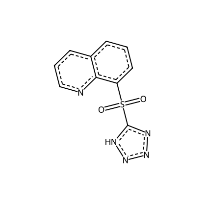 O=S(=O)(c1nnn[nH]1)c1cccc2cccnc12